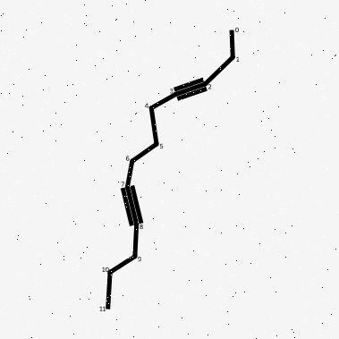 CCC#CCC[CH]C#CCCC